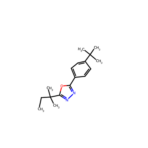 CCC(C)(C)c1nnc(-c2ccc(C(C)(C)C)cc2)o1